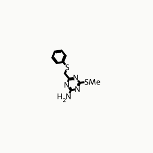 CSc1nc(N)nc(CSc2ccccc2)n1